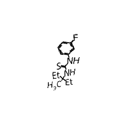 CCC(C)(CC)NC(=S)Nc1cccc(F)c1